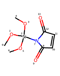 CO[Si](OC)(OC)N1C(=O)C=CC1=O